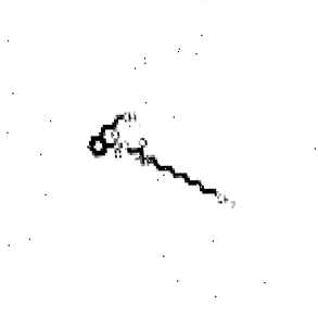 CCCCCCC=CCCNC(=O)COS(=O)(=O)c1ccccc1CCCC